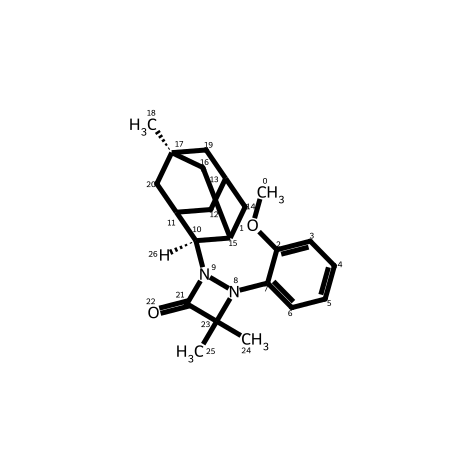 COc1ccccc1N1N([C@H]2C3CC4CC2C[C@](C)(C4)C3)C(=O)C1(C)C